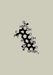 CN(C)[C@@H]1C(O)=C(C(N)=O)C(=O)[C@@]2(O)C(O)=C3C(=O)c4c(O)c(NS(C)(=O)=O)cc(C(F)(F)F)c4C[C@H]3C[C@@H]12